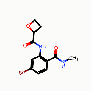 CNC(=O)c1ccc(Br)cc1NC(=O)C1CCO1